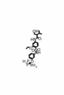 CCOc1cc(NC(=O)C(CO)C(C)C)ccc1S(=O)(=O)Nc1cccc(OC(F)(P)P)c1